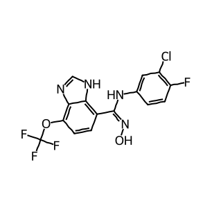 O/N=C(/Nc1ccc(F)c(Cl)c1)c1ccc(OC(F)(F)F)c2nc[nH]c12